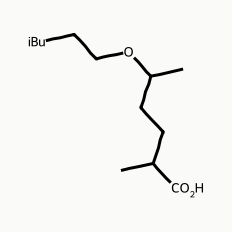 CCC(C)CCOC(C)CCC(C)C(=O)O